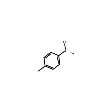 Cc1ccc([S@@+](C)[O-])cc1